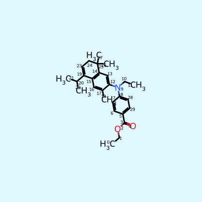 CCOC(=O)c1ccc(N(CC)c2cc3c(cc2C)C(C(C)C)=CCC3(C)C)cc1